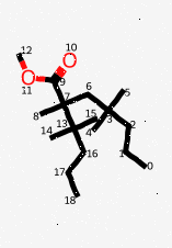 CCCC(C)(C)CC(C)(C(=O)OC)C(C)(C)CCC